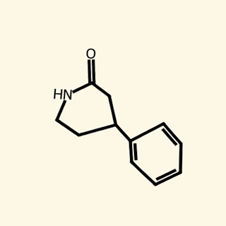 O=C1CC(c2ccccc2)CCN1